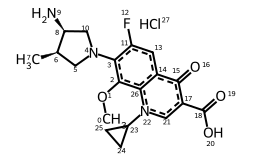 COc1c(N2C[C@@H](C)[C@@H](N)C2)c(F)cc2c(=O)c(C(=O)O)cn(C3CC3)c12.Cl